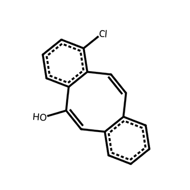 O/C1=C/c2ccccc2/C=C\c2c(Cl)cccc21